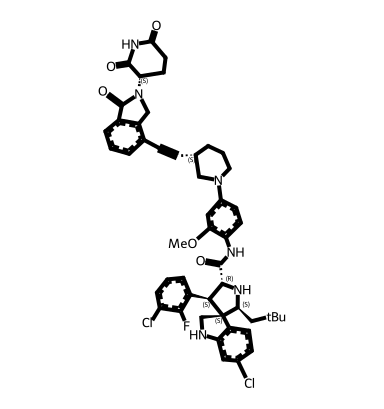 COc1cc(N2CCC[C@@H](C#Cc3cccc4c3CN([C@H]3CCC(=O)NC3=O)C4=O)C2)ccc1NC(=O)[C@@H]1N[C@@H](CC(C)(C)C)[C@@]2(CNc3cc(Cl)ccc32)[C@H]1c1cccc(Cl)c1F